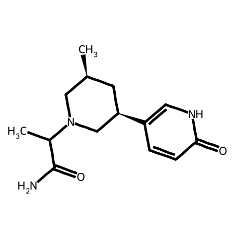 CC(C(N)=O)N1C[C@@H](C)C[C@@H](c2ccc(=O)[nH]c2)C1